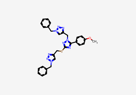 COc1ccc(-c2nc(SCc3cn(Cc4ccccc4)nn3)nn2Cc2cn(Cc3ccccc3)nn2)cc1